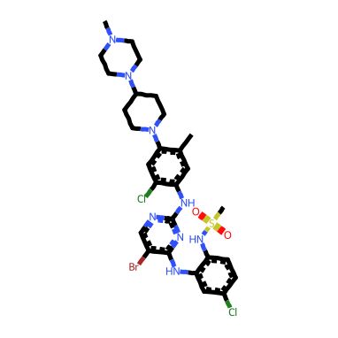 Cc1cc(Nc2ncc(Br)c(Nc3cc(Cl)ccc3NS(C)(=O)=O)n2)c(Cl)cc1N1CCC(N2CCN(C)CC2)CC1